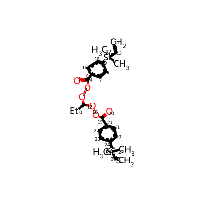 [CH2]C[C](OOC(=O)c1ccc([Si](C)(C)C=C)cc1)OOC(=O)c1ccc([Si](C)(C)C=C)cc1